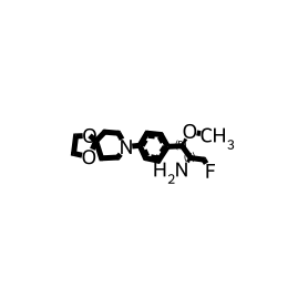 CO[C@H](c1ccc(N2CCC3(CC2)OCCO3)cc1)[C@H](N)CF